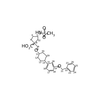 CS(=O)(=O)N[C@H]1CC[C@](COC2CCC(c3cccc(OCc4ccccc4)c3)CC2)(C(=O)O)C1